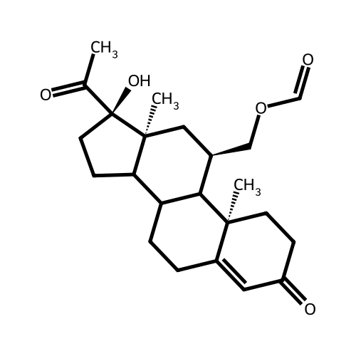 CC(=O)[C@@]1(O)CCC2C3CCC4=CC(=O)CC[C@]4(C)C3[C@H](COC=O)C[C@@]21C